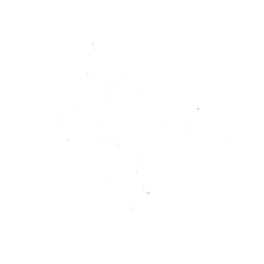 Cc1nc2c(N(Cc3ccccc3)Cc3ccccc3)nc3c(c2n1CC(C)C)CCCC3